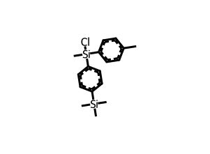 Cc1ccc([Si](C)(Cl)c2ccc([Si](C)(C)C)cc2)cc1